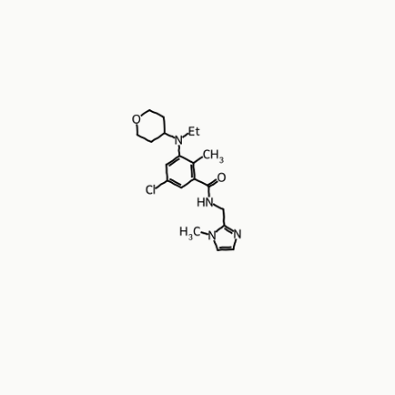 CCN(c1cc(Cl)cc(C(=O)NCc2nccn2C)c1C)C1CCOCC1